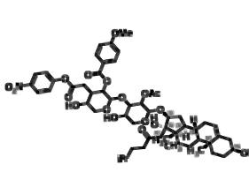 COc1ccc(C(=O)OC2C(OC3C(O)COC(O[C@H]4C[C@H]5[C@@H]6CC=C7C[C@@H](O)CC[C@]7(C)C6CC[C@]5(C)[C@@]4(O)[C@H](C)C(=O)CCC(C)C)C3OC(C)=O)OCC(O)C2CC(=O)Oc2ccc([N+](=O)[O-])cc2)cc1